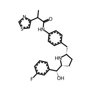 CC(C(=O)Nc1ccc(C[C@@H]2CC[C@H]([C@H](O)c3cccc(F)c3)N2)cc1)c1cscn1